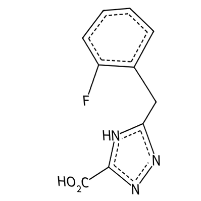 O=C(O)c1nnc(Cc2ccccc2F)[nH]1